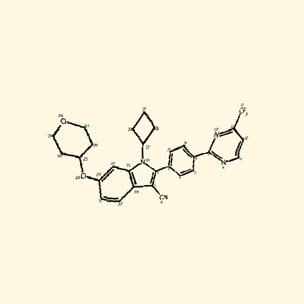 N#Cc1c(-c2ccc(-c3nccc(C(F)(F)F)n3)cc2)n(C2CCC2)c2cc(OC3CCOCC3)ccc12